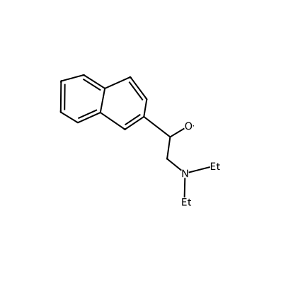 CCN(CC)CC([O])c1ccc2ccccc2c1